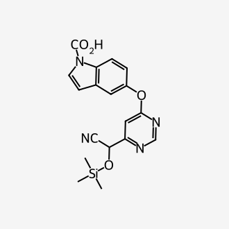 C[Si](C)(C)OC(C#N)c1cc(Oc2ccc3c(ccn3C(=O)O)c2)ncn1